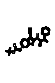 CC(C(=O)Nc1sc2c(c1C#N)CCN(OC(=O)OC(C)(C)C)C2)c1ccccc1